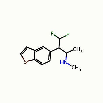 CNC(C)C(c1ccc2sccc2c1)C(F)F